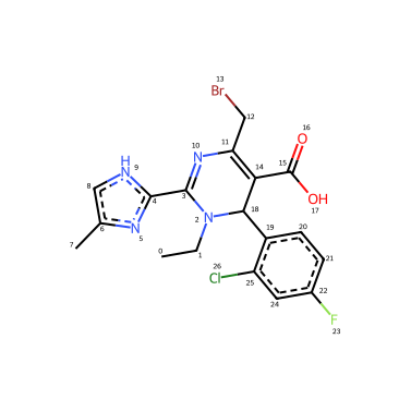 CCN1C(c2nc(C)c[nH]2)=NC(CBr)=C(C(=O)O)C1c1ccc(F)cc1Cl